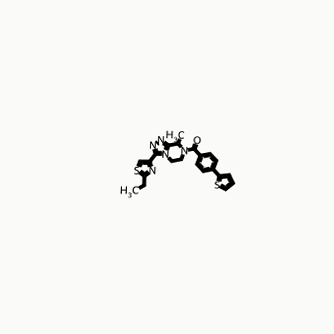 CCc1nc(-c2nnc3n2CCN(C(=O)c2ccc(-c4cccs4)cc2)C3C)cs1